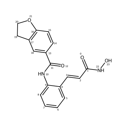 O=C(/C=C/c1ccccc1NC(=O)c1ccc2c(c1)CCO2)NO